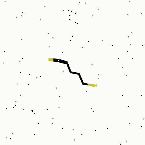 S=C=CCCCS